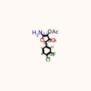 CC(=O)OC1=C(N)OC(c2ccc(Cl)c(F)c2)C1=O